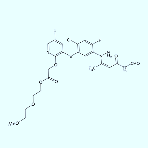 COCCOCCOC(=O)COc1ncc(F)cc1Sc1cc(N(N)/C(=C\C(=O)NC=O)C(F)(F)F)c(F)cc1Cl